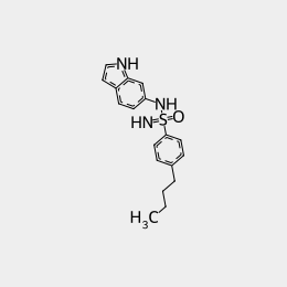 CCCCc1ccc(S(=N)(=O)Nc2ccc3cc[nH]c3c2)cc1